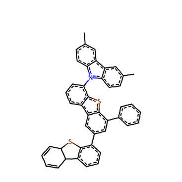 Cc1ccc2c(c1)c1cc(C)ccc1n2-c1cccc2c1sc1c(-c3ccccc3)cc(-c3cccc4c3SC3C=CC=CC43)cc12